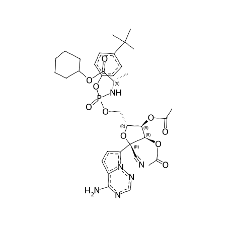 CC(=O)O[C@H]1[C@@H](OC(C)=O)[C@](C#N)(c2ccc3c(N)ncnn23)O[C@@H]1COP(=O)(N[C@@H](C)C(=O)OC1CCCCC1)Oc1ccc(C(C)(C)C)cc1